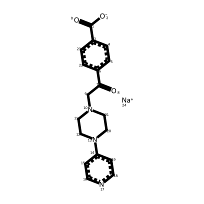 O=C([O-])c1ccc(C(=O)CN2CCN(c3ccncc3)CC2)cc1.[Na+]